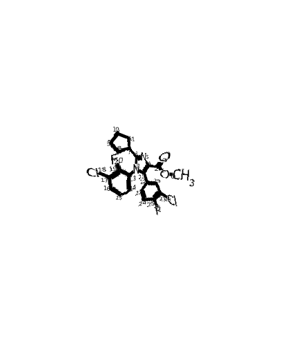 COC(=O)c1nc(C2CCCC2)n(-c2cccc(Cl)c2F)c1-c1ccc(F)c(Cl)c1